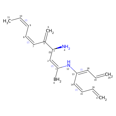 B/C(=C/[C@H](N)C(=C)/C=C\C=C/C)NC(/C=C\C=C)=C/C=C